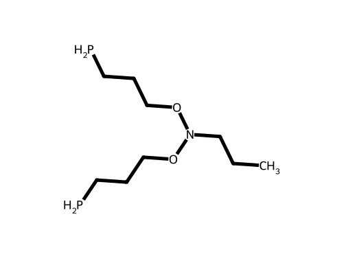 CCCN(OCCCP)OCCCP